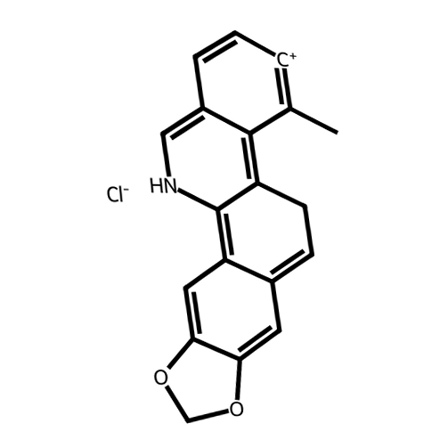 CC1=[C+]C=CC2=CNC3=c4cc5c(cc4=CCC3=C12)OCO5.[Cl-]